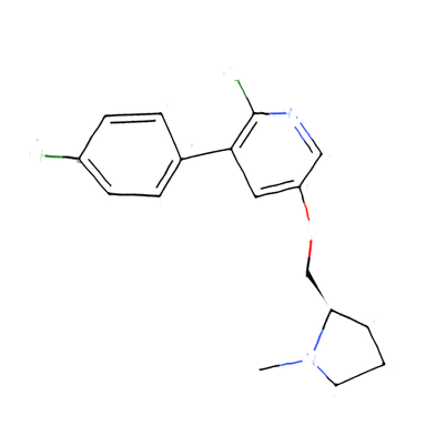 CN1CCC[C@@H]1COc1cnc(Cl)c(-c2ccc(Cl)cc2)c1